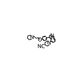 N#CC1CCN(c2cccn3ncc(-c4ccc(OCCCN5CCCCC5)cc4)c23)CC1